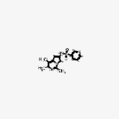 CC1=N[C@@H](C)C(C)=C2CC(NS(=O)(=O)c3cccnc3)CN12